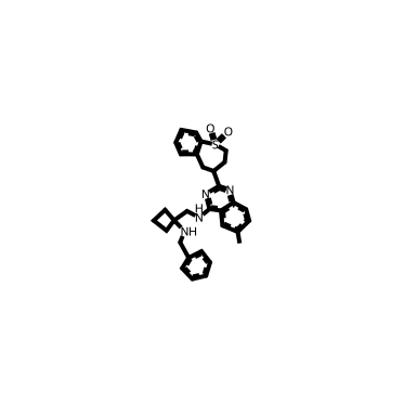 Cc1ccc2nc(C3CCS(=O)(=O)c4ccccc4C3)nc(NCC3(NCc4ccccc4)CCC3)c2c1